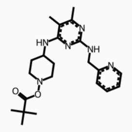 Cc1nc(NCc2ccccn2)nc(NC2CCN(OC(=O)C(C)(C)C)CC2)c1C